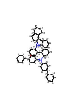 C1=CCCC(c2ccc(N(c3ccc(-c4ccccc4)cc3)c3ccccc3-c3ccccc3-n3c4ccccc4c4c5ccccc5ccc43)cc2)=C1